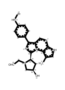 Cc1c[nH]c2ncc3c(-c4ccc(NC(C)C)cc4)nc([C@H]4C[C@@H](O)CN4CC=O)n3c12